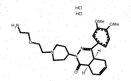 COc1ccc(C2=NN(C3CCN(CCOCCN)CC3)C(=O)[C@@H]3CC=CC[C@H]23)cc1OC.Cl.Cl